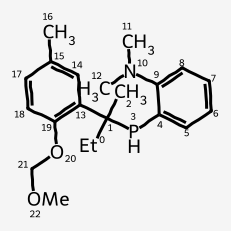 CCC(C)(Pc1ccccc1N(C)C)c1cc(C)ccc1OCOC